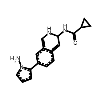 Nn1cccc1-c1ccc2c(c1)=CNC(NC(=O)C1CC1)C=2